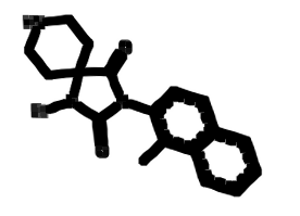 CCN1C(=O)N(c2ccc3ccccc3c2C)C(=O)C12CCNCC2